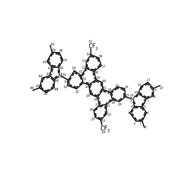 Cc1ccc2c(c1)c1cc(C)ccc1n2-c1ccc2c(c1)c1cc(C(F)(F)F)ccc1c1cc3c4ccc(-n5c6ccc(C)cc6c6cc(C)ccc65)cc4c4cc(C(F)(F)F)ccc4c3cc21